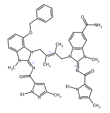 CCn1nc(C)cc1C(=O)/N=c1\n(C)c2cc(C(N)=O)ccc2n1C/C(C)=C(\C)Cn1/c(=N/C(=O)c2cc(C)nn2CC)n(C)c2cccc(OCc3ccccc3)c21